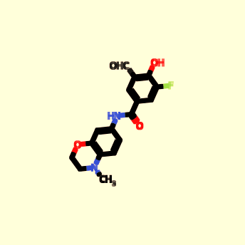 CN1CCOc2cc(NC(=O)c3cc(F)c(O)c(C=O)c3)ccc21